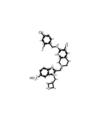 O=C(O)c1ccc2nc(CN3CCc4cc(Cl)c(OCc5ccc(Cl)cc5F)nc4C3)n(CC3COC3)c2c1